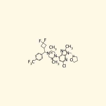 Cc1nc2c(N3C[C@@H](C)N(C(c4ccc(C(F)(F)F)cc4)C4CC(F)(F)C4)C[C@@H]3C)cc(Cl)nc2n1C[C@@H]1CCCO1